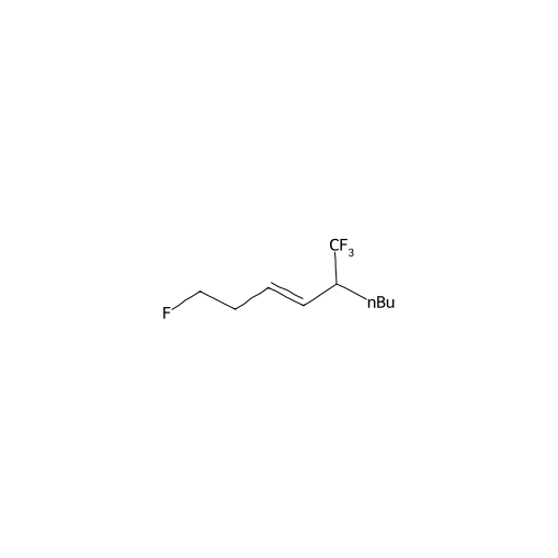 CCCCC(C=CCCF)C(F)(F)F